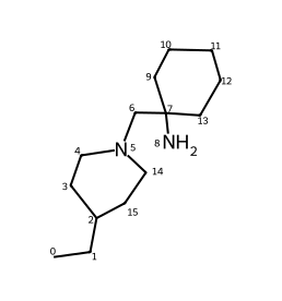 CCC1CCN(CC2(N)CCCCC2)CC1